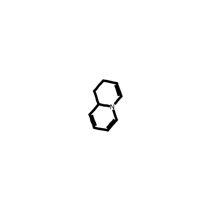 C1=CC2CCC=CN2C=C1